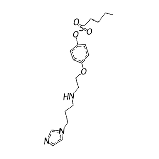 CCCCS(=O)(=O)Oc1ccc(OCCNCCCn2ccnc2)cc1